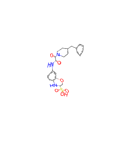 O=C(Nc1ccc2c(c1)OCC(S(=O)(=O)O)N2)C(=O)N1CCC(Cc2ccccc2)CC1